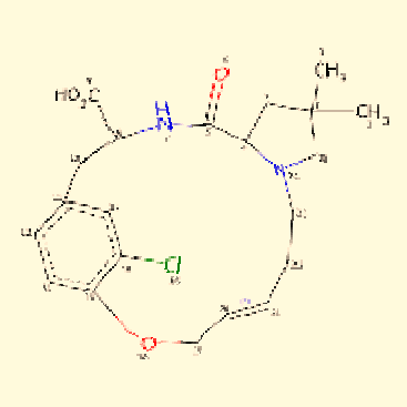 CC1(C)CC2C(=O)NC(C(=O)O)Cc3ccc(c(Cl)c3)OC/C=C/CCN2C1